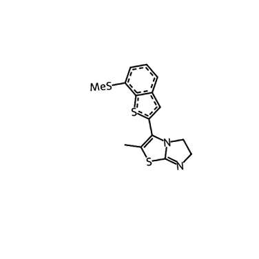 CSc1cccc2cc(C3=C(C)SC4=NCCN43)sc12